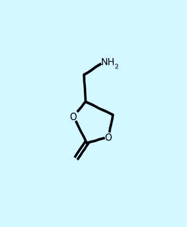 C=C1OCC(CN)O1